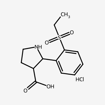 CCS(=O)(=O)c1ccccc1C1NCCC1C(=O)O.Cl